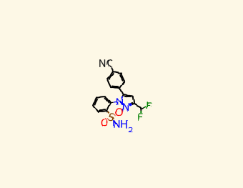 N#Cc1ccc(-c2cc(C(F)F)nn2-c2ccccc2S(N)(=O)=O)cc1